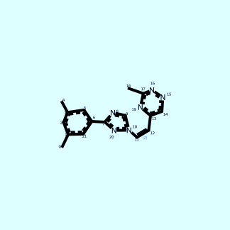 Cc1cc(C)cc(-c2ncn(/C=C\c3cnnc(C)n3)n2)c1